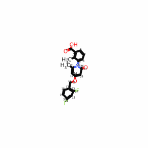 Cc1c(C(=O)O)cccc1-n1c(C)cc(OCc2ccc(F)cc2F)cc1=O